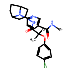 CC(C)NC(=O)c1ccc(N2C3CCC2CC(NC(=O)C(C)(C)Oc2ccc(Cl)cc2)C3)nc1